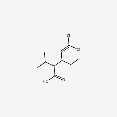 CCC(C=C(Cl)Cl)C(C(=O)O)C(C)C